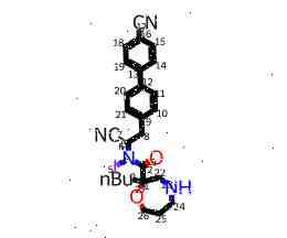 CCCCC1(C(=O)N(I)[C@H](C#N)Cc2ccc(-c3ccc(C#N)cc3)cc2)CNCCCO1